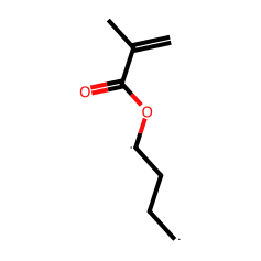 [CH2]CC[CH]OC(=O)C(=C)C